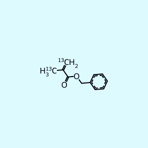 [13CH2]=C([13CH3])C(=O)OCc1ccccc1